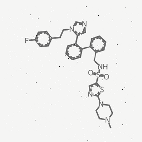 CN1CCN(c2ncc(S(=O)(=O)NCc3ccccc3-c3ccccc3-c3cncn3CCc3ccc(F)cc3)s2)CC1